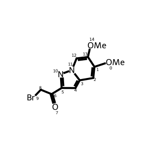 COc1cc2cc(C(=O)CBr)nn2cc1OC